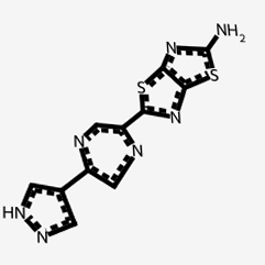 Nc1nc2sc(-c3cnc(-c4cn[nH]c4)cn3)nc2s1